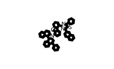 C1=Cc2sc3c(-c4ccc5ccccc5c4)nc(C4=CCCc5oc6c(N7c8ccc9ccccc9c8C8c9ccccc9C(c9ccccc9)=CC87)cccc6c54)nc3c2CC1